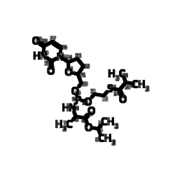 CC(C)OC(=O)C(C)N[P@@](OCCSC(=O)C(C)C)OCC1CCC(n2ccc(=O)[nH]c2=O)O1